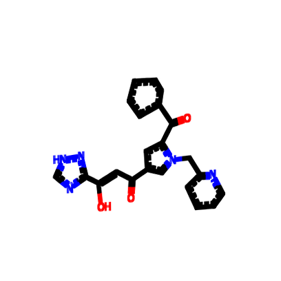 O=C(C=C(O)c1nc[nH]n1)c1cc(C(=O)c2ccccc2)n(Cc2ccccn2)c1